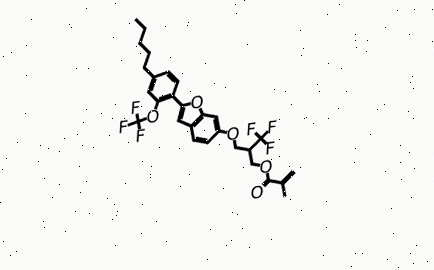 C=C(C)C(=O)OCC(COc1ccc2cc(-c3ccc(CCCCC)cc3OC(F)(F)F)oc2c1)C(F)(F)F